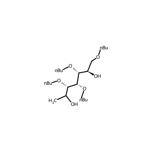 CCCCOC[C@@H](O)[C@@H](OCCCC)[C@H](OCCCC)[C@@H](OCCCC)C(C)O